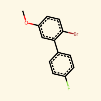 COc1ccc(Br)c(-c2ccc(F)cc2)c1